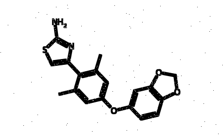 Cc1cc(Oc2ccc3c(c2)OCO3)cc(C)c1-c1csc(N)n1